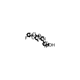 Cc1cc(OC[n+]2cccc(F)c2)c(Cl)c(=O)n1C1=CC(c2ccnc(C(C)(C)O)n2)=NC[C@H]1C